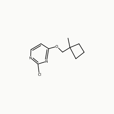 CC1(COc2ccnc(Cl)n2)CCC1